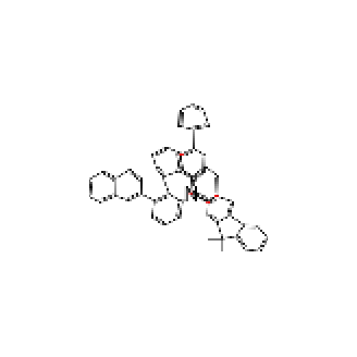 CC1(C)c2ccccc2-c2ccc(N(c3ccc(-c4ccccc4)cc3)c3cccc(-c4ccc5ccccc5c4)c3-c3ccccc3-c3ccccc3)cc21